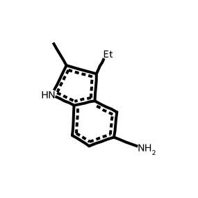 CCc1c(C)[nH]c2ccc(N)cc12